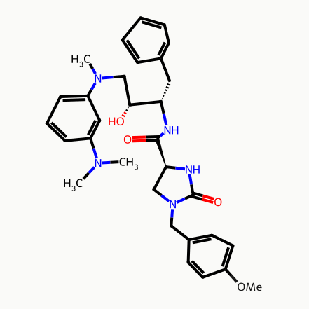 COc1ccc(CN2C[C@@H](C(=O)N[C@@H](Cc3ccccc3)[C@H](O)CN(C)c3cccc(N(C)C)c3)NC2=O)cc1